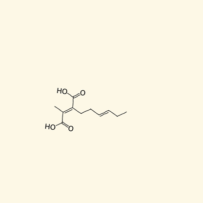 CCC=CCCC(C(=O)O)=C(C)C(=O)O